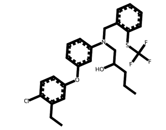 CCCC(O)CN(Cc1ccccc1SC(F)(F)F)c1cccc(Oc2ccc(Cl)c(CC)c2)c1